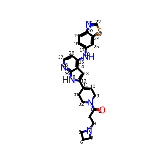 O=C(CCN1CCC1)N1CC=C(c2cc3c(Nc4ccc5ncsc5c4)ccnc3[nH]2)CC1